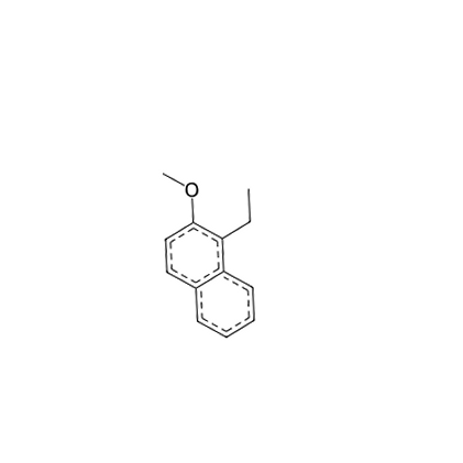 CCc1c(OC)ccc2ccccc12